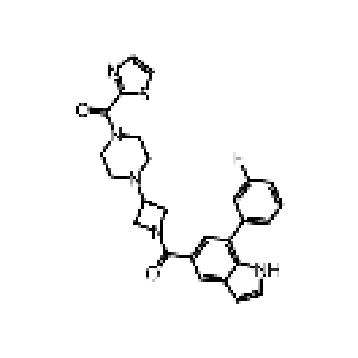 O=C(c1cc(-c2cccc(F)c2)c2[nH]ccc2c1)N1CC(N2CCN(C(=O)c3nccs3)CC2)C1